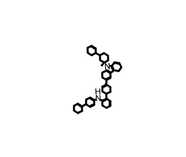 CC1(n2c3c(c4c2CCC(C2=CCC(C5=C(NC6=CCC(C7=CCCCC7)C=C6)CCC=C5)CC2)=C4)CCC=C3)CCCC(C2C=CCCC2)C1